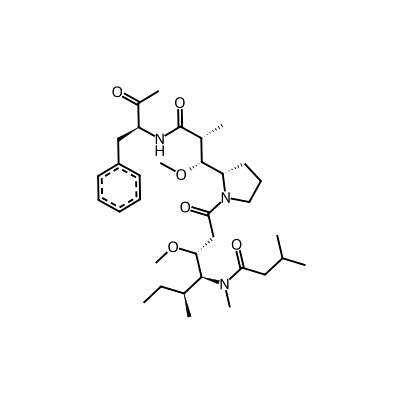 CC[C@H](C)[C@@H]([C@@H](CC(=O)N1CCC[C@H]1[C@H](OC)[C@@H](C)C(=O)N[C@@H](Cc1ccccc1)C(C)=O)OC)N(C)C(=O)CC(C)C